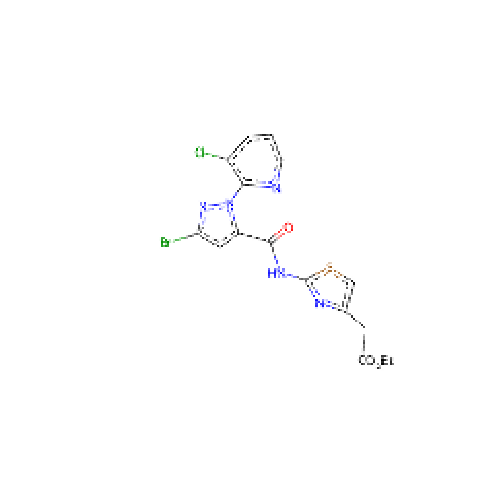 CCOC(=O)Cc1csc(NC(=O)c2cc(Br)nn2-c2ncccc2Cl)n1